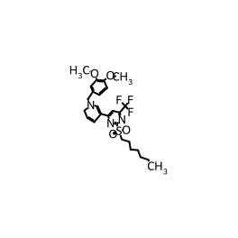 CCCCCCCS(=O)(=O)c1nc(C2=CN(Cc3ccc(OC)c(OC)c3)CC=C2)cc(C(F)(F)F)n1